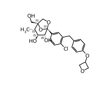 C[C@H]1[C@H](O)[C@@H](O)[C@@]2(c3ccc(Cl)c(Cc4ccc(OC5COC5)cc4)c3)OC[C@]1(CO)O2